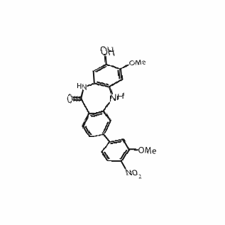 COc1cc2c(cc1O)NC(=O)c1ccc(-c3ccc([N+](=O)[O-])c(OC)c3)cc1N2